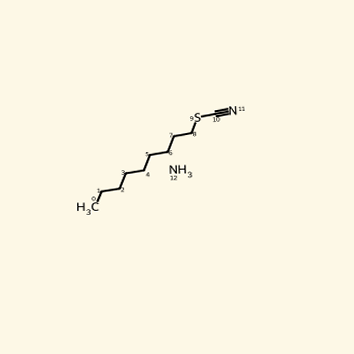 CCCCCCCCCSC#N.N